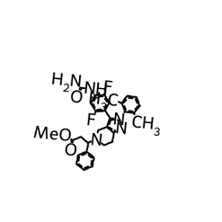 COC(=O)CC(c1ccccc1)N1CCc2nn(-c3c(C)cccc3C)c(-c3cc(F)c(NC(N)=O)cc3F)c2C1